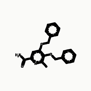 Cc1nc(C(N)=O)cc(OCc2ccccc2)c1OCc1ccccc1